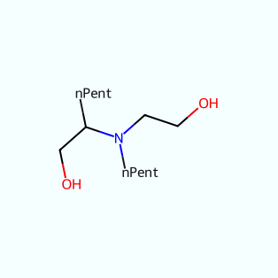 CCCCCC(CO)N(CCO)CCCCC